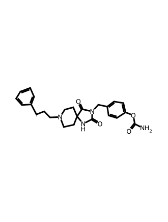 NC(=O)Oc1ccc(CN2C(=O)NC3(CCN(CC[CH]c4ccccc4)CC3)C2=O)cc1